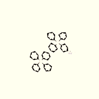 I.[Mg+2].c1ccc([B-](c2ccccc2)(c2ccccc2)c2ccccc2)cc1.c1ccc([B-](c2ccccc2)(c2ccccc2)c2ccccc2)cc1